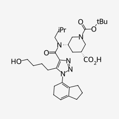 CC(C)CN(C(=O)c1nnn(C2=C3CCCC3=CCC2)c1CCCCO)[C@H]1C[C@@H](C(=O)O)CN(C(=O)OC(C)(C)C)C1